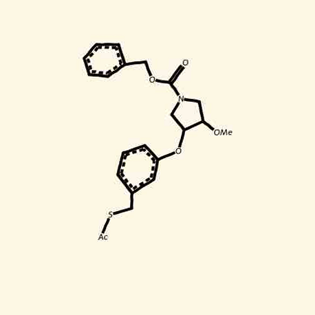 COC1CN(C(=O)OCc2ccccc2)CC1Oc1cccc(CSC(C)=O)c1